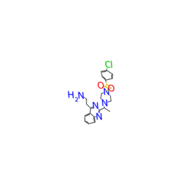 CC(c1nc(CCN)c2ccccc2n1)N1CCN(S(=O)(=O)c2ccc(Cl)cc2)CC1